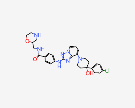 O=C(NCC1CNCCO1)c1ccc(Nc2nc3c(N4CCC(O)(c5ccc(Cl)cc5)CC4)cccn3n2)cc1